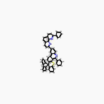 c1ccc(-c2ccc3ccc4ccc(-c5ccc6nc(-c7ccccc7)c7c8c(ccc7c6c5)C5(c6ccccc6S8)c6ccccc6-c6ccccc65)nc4c3n2)cc1